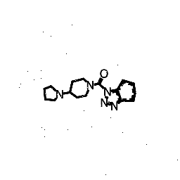 O=C(N1CCC(N2CCCC2)CC1)n1nnc2ccccc21